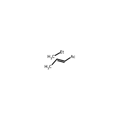 CC=CC(C)=O.CCC